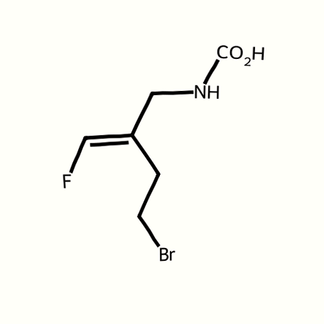 O=C(O)NCC(=CF)CCBr